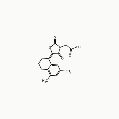 Cc1cc(C)c2c(c1)C(=C1SC(=S)N(CC(=O)O)C1=O)CCC2